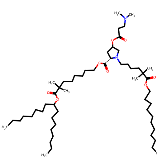 CCCCCCCCCCCOC(=O)C(C)(C)CCCCN1CC(OC(=O)CCN(C)C)C[C@H]1C(=O)OCCCCCCC(C)(C)C(=O)OC(CCCCCCCC)CCCCCCCC